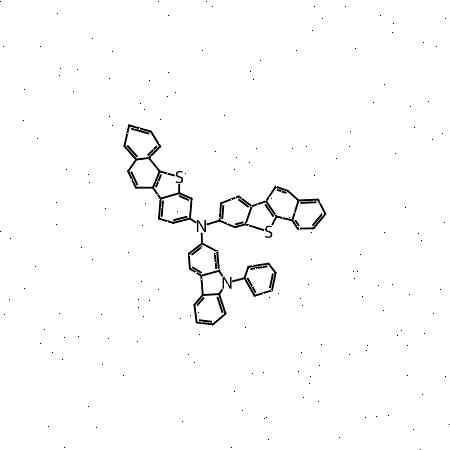 c1ccc(-n2c3ccccc3c3ccc(N(c4ccc5c(c4)sc4c6ccccc6ccc54)c4ccc5c(c4)sc4c6ccccc6ccc54)cc32)cc1